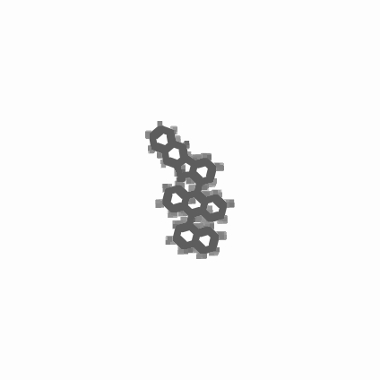 c1ccc2cc3c(cc2c1)sc1c(-c2c4ccccc4c(-c4cccc5ccccc45)c4ccccc24)cccc13